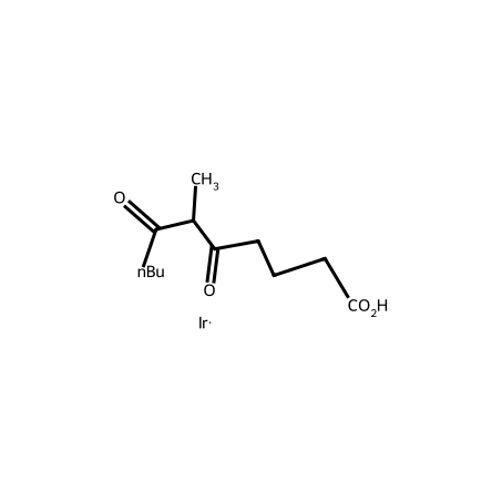 CCCCC(=O)C(C)C(=O)CCCC(=O)O.[Ir]